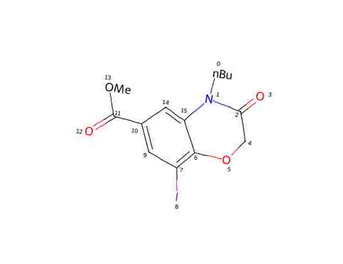 CCCCN1C(=O)COc2c(I)cc(C(=O)OC)cc21